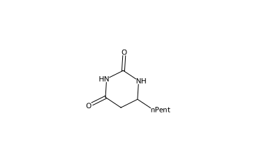 CCCCCC1CC(=O)NC(=O)N1